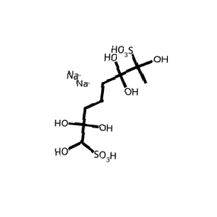 CC(O)(C(O)(O)CCCC(O)(O)C(O)S(=O)(=O)O)S(=O)(=O)O.[Na].[Na]